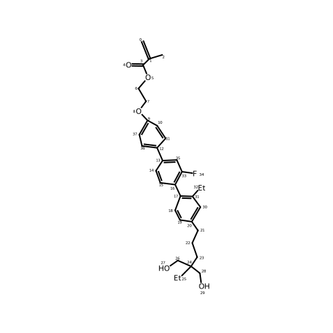 C=C(C)C(=O)OCCOc1ccc(-c2ccc(-c3ccc(CCCC(CC)(CO)CO)cc3CC)c(F)c2)cc1